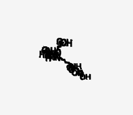 O=C(O)CCCC[C@]1(C(=O)NCCCCCC(=O)N[C@@H](Cc2ccc(O)cc2)C(=O)O)SC[C@@H]2NC(=O)N[C@@H]21